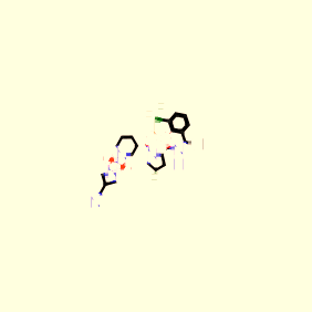 CC(NC(=O)[C@H]1C[C@H](F)CN1C(=O)[C@H]1CCCN(S(=O)(=O)N2CC(C#N)C2)C1)c1cccc(C(F)(F)F)c1